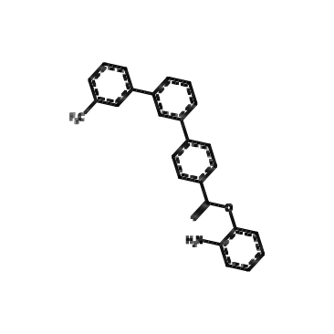 C=C(Oc1ccccc1N)c1ccc(-c2cccc(-c3cccc(C(F)(F)F)c3)c2)cc1